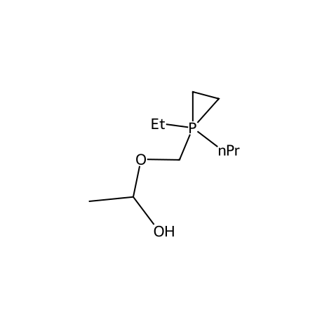 CCCP1(CC)(COC(C)O)CC1